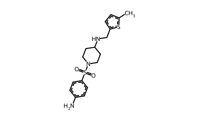 Cc1ccc(CNC2CCN(S(=O)(=O)c3ccc(N)cc3)CC2)s1